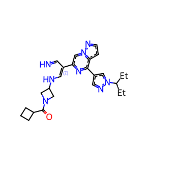 CCC(CC)n1cc(-c2nc(/C(C=N)=C/NC3CN(C(=O)C4CCC4)C3)cn3nccc23)cn1